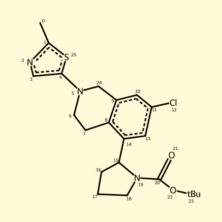 Cc1ncc(N2CCc3c(cc(Cl)cc3C3CCCN3C(=O)OC(C)(C)C)C2)s1